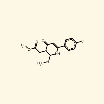 COC(=O)CN1C(=O)C=C(c2ccc(Cl)cc2)NC1SC